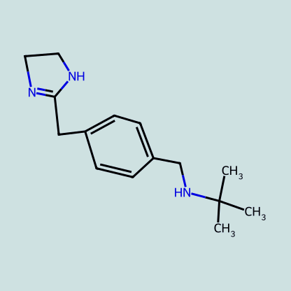 CC(C)(C)NCc1ccc(CC2=NCCN2)cc1